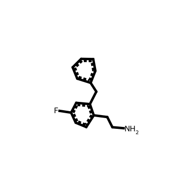 NCCc1ccc(F)cc1Cc1ccccc1